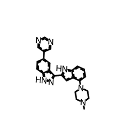 CN1CCN(c2cccc3[nH]c(-c4n[nH]c5ccc(-c6cncnc6)cc45)cc23)CC1